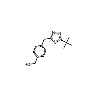 CC(C)(C)n1nnc(Cc2ccc(CO)cc2)n1